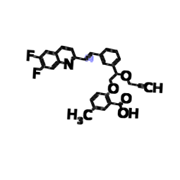 C#CCOC(COc1ccc(C)cc1C(=O)O)c1cccc(/C=C/c2ccc3cc(F)c(F)cc3n2)c1